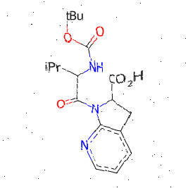 CC(C)C(NC(=O)OC(C)(C)C)C(=O)N1c2ncccc2CC1C(=O)O